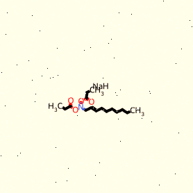 CCCCCCCC=CCN(OC(=O)CC)OC(=O)CC.[NaH]